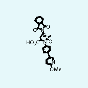 COc1ccc(-c2ccc(N(C(CCN3C(=O)c4ccccc4C3=O)C(=O)O)S(C)(=O)=O)cc2)cn1